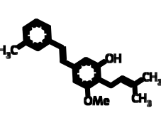 COc1cc(/C=C/c2cccc(C)c2)cc(O)c1CC=C(C)C